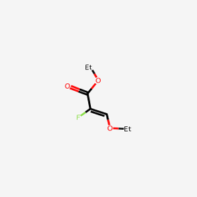 CCOC=C(F)C(=O)OCC